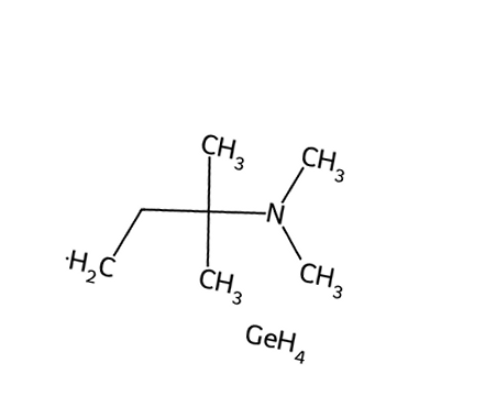 [CH2]CC(C)(C)N(C)C.[GeH4]